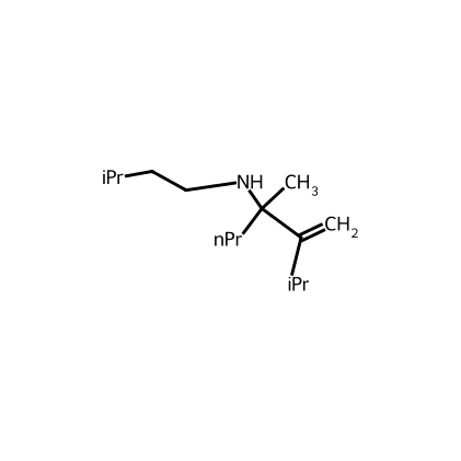 C=C(C(C)C)C(C)(CCC)NCCC(C)C